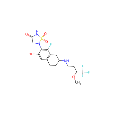 COC(CCNC1CCc2cc(O)c(N3CC(=O)NS3(=O)=O)c(F)c2C1)C(F)(F)F